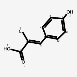 O=C(O)C(Cl)=Cc1ccc(O)cc1